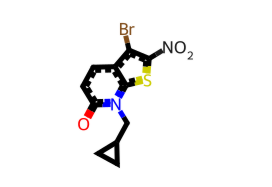 O=c1ccc2c(Br)c([N+](=O)[O-])sc2n1CC1CC1